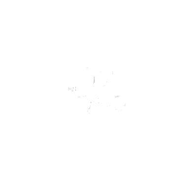 O=C(OCc1ccccc1)C1CNCC1c1ccc(F)cc1F